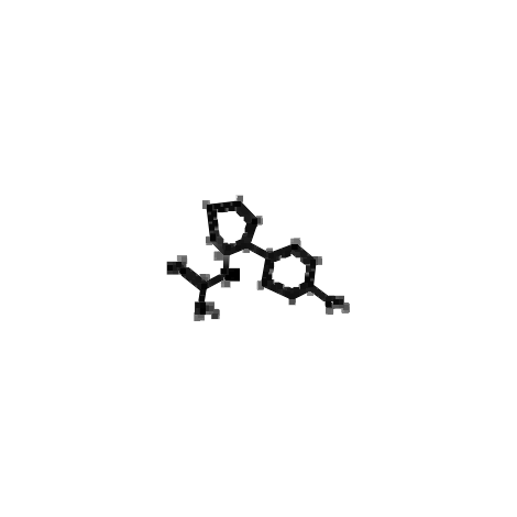 Cc1ccc(-c2[c]cccc2NC(=N)N)cc1